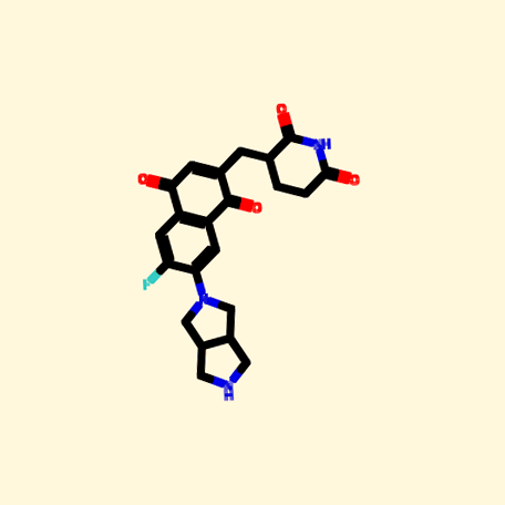 O=C1CCC(CC2=CC(=O)c3cc(F)c(N4CC5CNCC5C4)cc3C2=O)C(=O)N1